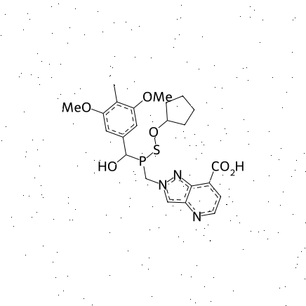 COc1cc(C(O)P(Cn2cc3nccc(C(=O)O)c3n2)SOC2CCCC2)cc(OC)c1C